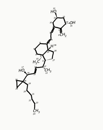 C=C1/C(=C\C=C2/CCC[C@]3(C)[C@@H]([C@H](C)/C=C/[C@H](O)C4(CCCCCC)CC4)CC[C@@H]23)C[C@@H](O)C[C@@H]1O